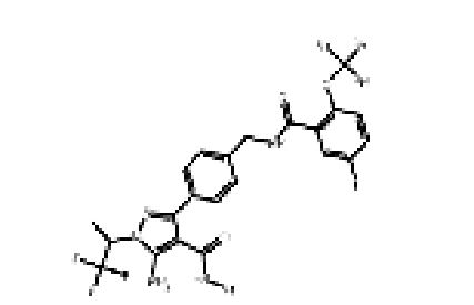 [2H]NC(=O)c1c(-c2ccc(CNC(=O)c3cc(F)ccc3OC([2H])([2H])[2H])cc2)nn(C(C)C(F)(F)F)c1N